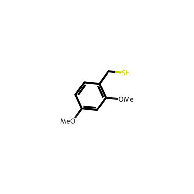 COc1ccc(CS)c(OC)c1